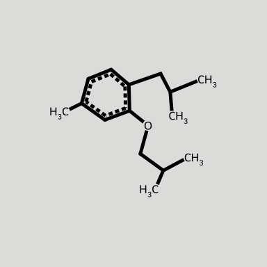 Cc1ccc(CC(C)C)c(OCC(C)C)c1